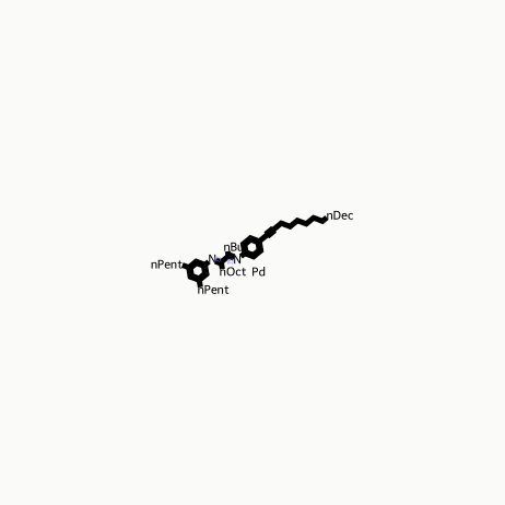 CCCCCCCCCCCCCCCCC#Cc1ccc(/N=C(CCCC)/C(CCCCCCCC)=N/c2cc(CCCCC)cc(CCCCC)c2)cc1.[Pd]